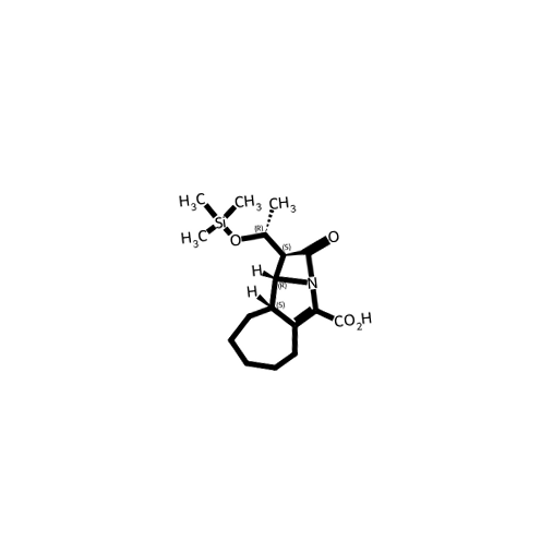 C[C@@H](O[Si](C)(C)C)[C@H]1C(=O)N2C(C(=O)O)=C3CCCCC[C@@H]3[C@H]12